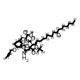 CC#CCOc1ccc(C[C@H](NC(=O)[C@@H](/C=C/CCCCCCC(=O)CCCCCCC)[C@@](O)(CC(N)=O)C(=O)OC(C)(C)C)C(=O)OC)cc1